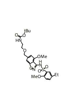 CCc1ccc(OC)c(S(=O)(=O)Nc2noc3cc(COCCNC(=O)OC(C)(C)C)cc(OC)c23)c1